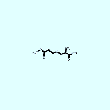 COC(=O)CCSCC(N)C(=O)O